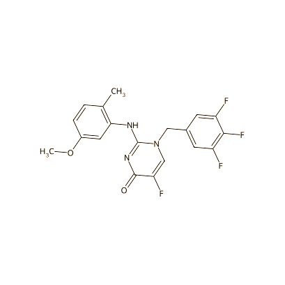 COc1ccc(C)c(Nc2nc(=O)c(F)cn2Cc2cc(F)c(F)c(F)c2)c1